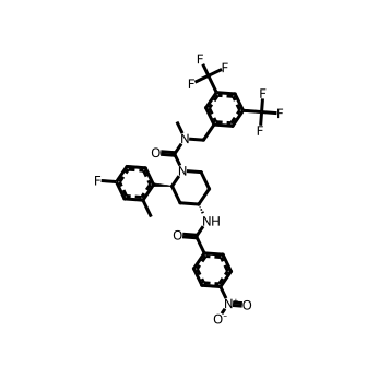 Cc1cc(F)ccc1[C@@H]1C[C@@H](NC(=O)c2ccc([N+](=O)[O-])cc2)CCN1C(=O)N(C)Cc1cc(C(F)(F)F)cc(C(F)(F)F)c1